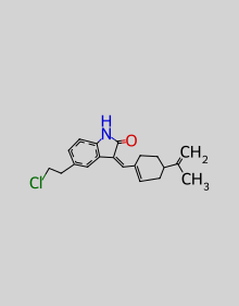 C=C(C)C1CC=C(C=C2C(=O)Nc3ccc(CCCl)cc32)CC1